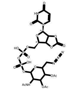 CC(=O)NC1C(OP(=O)(O)OP(=O)(O)OC[C@H]2O[C@@H](n3ccc(=O)[nH]c3=O)C3OC(=O)OC32)OC(CN=[N+]=[N-])C(OC(C)=O)C1OC(C)=O